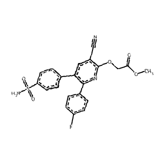 COC(=O)COc1nc(-c2ccc(F)cc2)c(-c2ccc(S(N)(=O)=O)cc2)cc1C#N